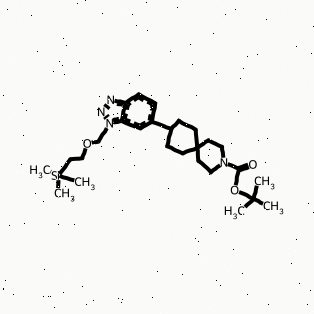 CC(C)(C)OC(=O)N1CCC2(CCC(c3ccc4nnn(COCC[Si](C)(C)C)c4c3)CC2)CC1